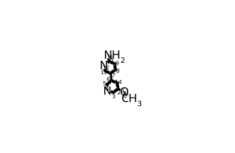 COc1cncc(-c2ccc(N)nc2)c1